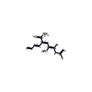 C=C/C=C/C(=C\C(CCC)=C(/C)CC(=C)C)C(N)=O